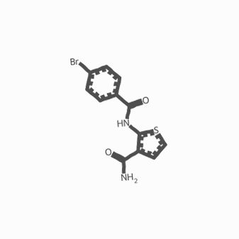 NC(=O)c1ccsc1NC(=O)c1ccc(Br)cc1